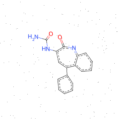 NC(=O)Nc1cc(-c2ccccc2)c2ccccc2nc1=O